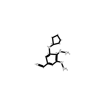 COc1cc(C=O)cc(OC2CCCC2)c1OC